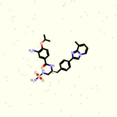 Cc1cccn2cc(-c3ccc(C[C@@H](CNS(N)(=O)=O)NC(=O)c4ccc(OC(C)C)c(N)c4)cc3)nc12